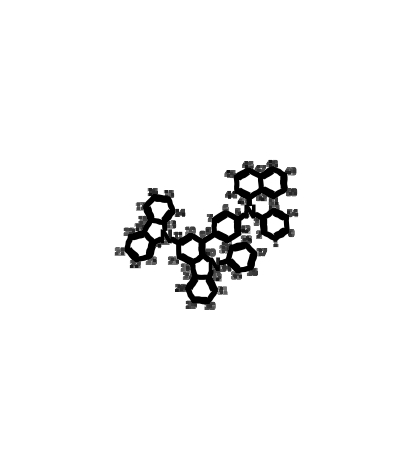 c1ccc(N(c2ccc(-c3cc(-n4c5ccccc5c5ccccc54)cc4c5ccccc5n(-c5ccccc5)c34)cc2)c2cccc3ccccc23)cc1